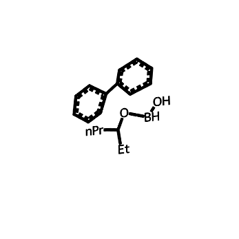 CCCC(CC)OBO.c1ccc(-c2ccccc2)cc1